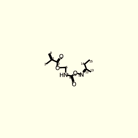 C=C(C)C(=O)OCNC(=O)ON=C(C)CC